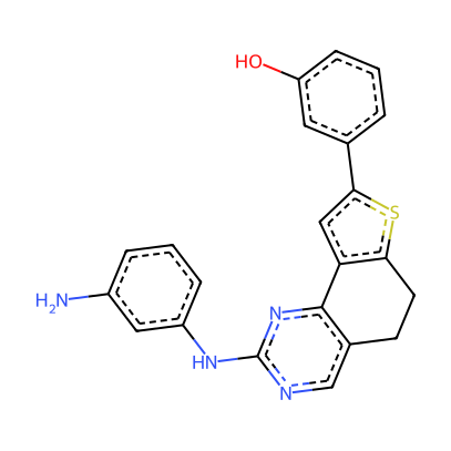 Nc1cccc(Nc2ncc3c(n2)-c2cc(-c4cccc(O)c4)sc2CC3)c1